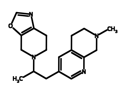 CC(Cc1cnc2c(c1)CCN(C)C2)N1CCc2ncoc2C1